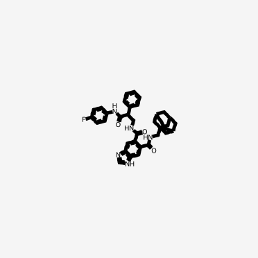 O=C(NCC(C(=O)Nc1ccc(F)cc1)c1ccccc1)c1cc2nc[nH]c2cc1C(=O)NCC12CC3CC(CC(C3)C1)C2